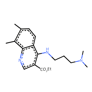 CCOC(=O)c1cnc2c(C)c(C)ccc2c1NCCCN(C)C